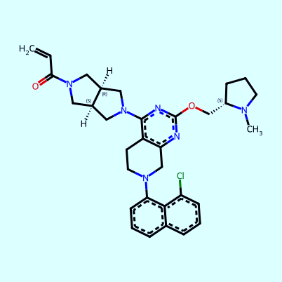 C=CC(=O)N1C[C@@H]2CN(c3nc(OC[C@@H]4CCCN4C)nc4c3CCN(c3cccc5cccc(Cl)c35)C4)C[C@@H]2C1